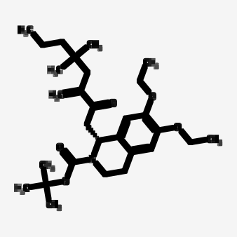 C=C(CC(C)(C)CCC)C(=O)C[C@@H]1c2cc(OCC)c(OCC)cc2CCN1C(=O)OC(C)(C)C